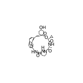 C[C@@H]1NC(=O)C(C2CC2)OC(=O)C2(/C=C/c3ccc4ccc(nc4c3)[C@@H](C)NC(=O)[C@@H]3CCCN(N3)C1=O)CCC(O)CC2